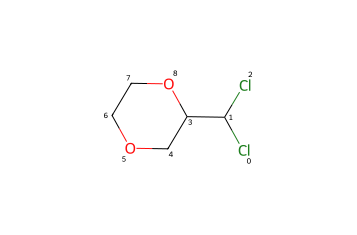 ClC(Cl)C1COCCO1